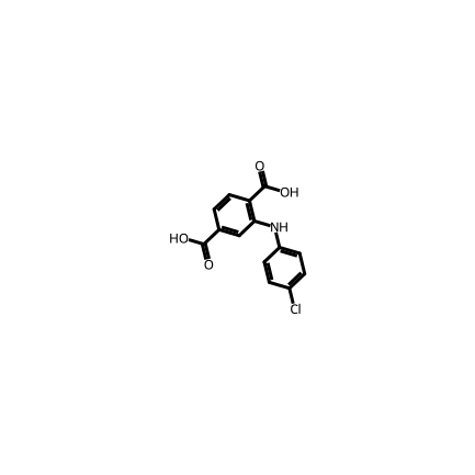 O=C(O)c1ccc(C(=O)O)c(Nc2ccc(Cl)cc2)c1